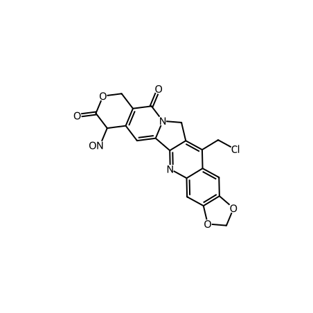 O=NC1C(=O)OCc2c1cc1n(c2=O)Cc2c-1nc1cc3c(cc1c2CCl)OCO3